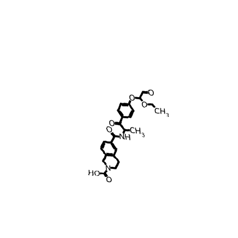 CCOC(C=O)Oc1ccc(C(=O)C(C)NC(=O)c2ccc3c(c2)CCN(C(=O)O)C3)cc1